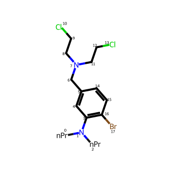 CCCN(CCC)c1cc(CN(CCCl)CCCl)ccc1Br